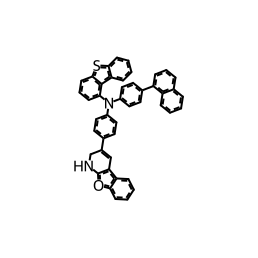 C1=C(c2ccc(N(c3ccc(-c4cccc5ccccc45)cc3)c3cccc4sc5ccccc5c34)cc2)CNc2oc3ccccc3c21